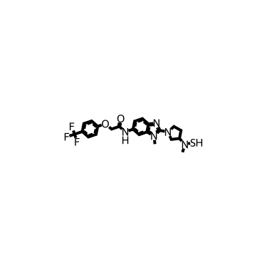 CN(S)C1CCN(c2nc3ccc(NC(=O)COc4ccc(C(F)(F)F)cc4)cc3n2C)C1